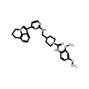 COc1ccc(NC(=O)N2CCC(CNc3nccc(-c4cn5c6c(cccc46)CCC5)n3)CC2)c(OC)c1